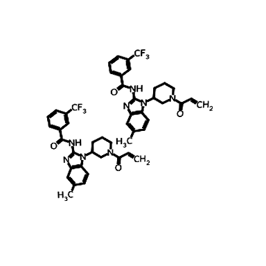 C=CC(=O)N1CCCC(n2c(NC(=O)c3cccc(C(F)(F)F)c3)nc3cc(C)ccc32)C1.C=CC(=O)N1CCCC(n2c(NC(=O)c3cccc(C(F)(F)F)c3)nc3cc(C)ccc32)C1